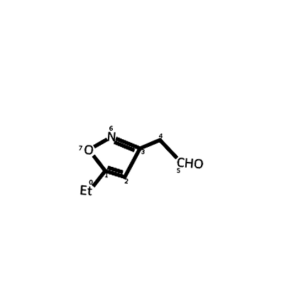 CCc1cc(CC=O)no1